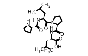 CC(C)C[C@H](NC(=O)[C@@H]1CCCN1C(=O)[C@H](CC(C)C)NC(=O)[C@@H]1CCCN1)C(=O)O